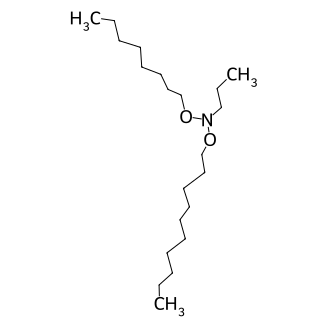 CCCCCCCCCCON(CCC)OCCCCCCCC